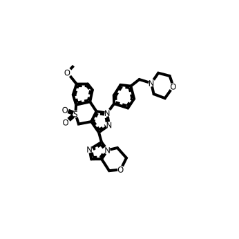 COc1ccc2c(c1)S(=O)(=O)Cc1c(-c3ncc4n3CCOC4)nn(-c3ccc(CN4CCOCC4)cc3)c1-2